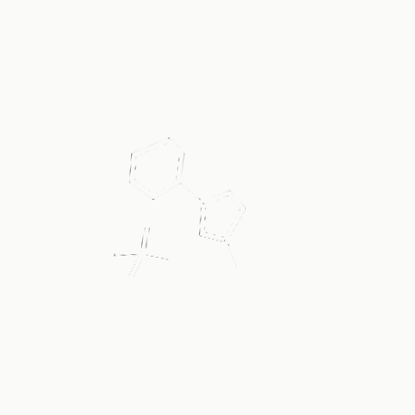 CS(=O)(=O)[O-].Cn1cc[n+](-c2ccccc2)c1